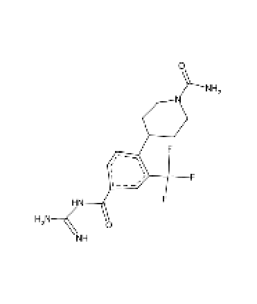 N=C(N)NC(=O)c1ccc(C2CCN(C(N)=O)CC2)c(C(F)(F)F)c1